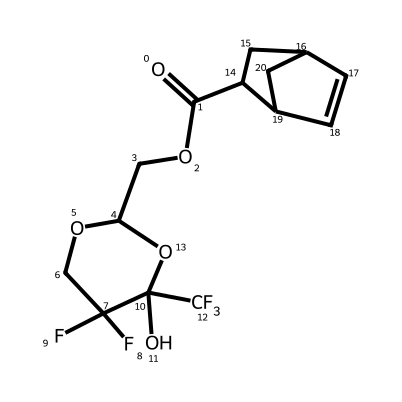 O=C(OCC1OCC(F)(F)C(O)(C(F)(F)F)O1)C1CC2C=CC1C2